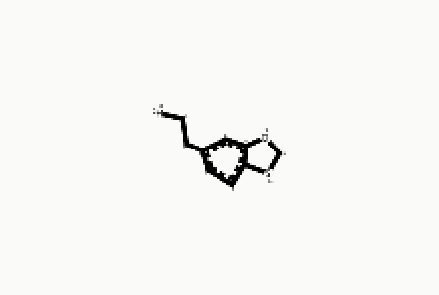 [2H]CCc1ccc2c(c1)OCS2